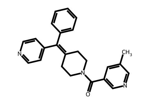 Cc1cncc(C(=O)N2CCC(=C(c3ccccc3)c3ccncc3)CC2)c1